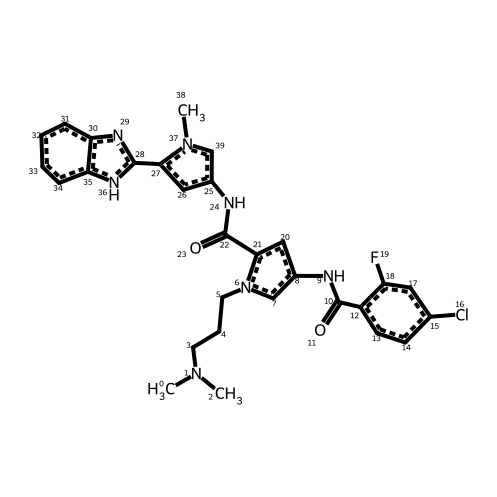 CN(C)CCCn1cc(NC(=O)c2ccc(Cl)cc2F)cc1C(=O)Nc1cc(-c2nc3ccccc3[nH]2)n(C)c1